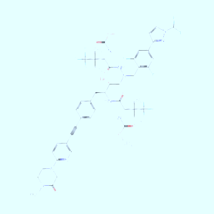 COC(=O)N[C@H](C(=O)N[C@@H](Cc1ccc(C#Cc2ccc(N3CCN(C)C(=O)C3)nc2)cc1)[C@@H](O)CN(Cc1c(F)cc(-c2ccn(C(F)F)n2)cc1F)NC(=O)[C@@H](NC(=O)O)C(C)(C)C(F)(F)F)C(C)(C)C(F)(F)F